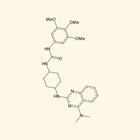 COc1cc(NC(=O)NC2CCC(Nc3nc(N(C)C)c4ccccc4n3)CC2)cc(OC)c1OC